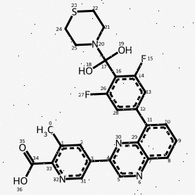 Cc1cc(-c2cnc3cccc(-c4cc(F)c(C(O)(O)N5CCSCC5)c(F)c4)c3n2)cnc1C(=O)O